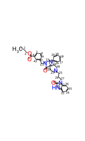 CCCOC(=O)c1cccc(CN2CN(c3ccccc3)C3(CCN(CCCn4c(=O)[nH]c5ccccc54)CC3)C2=O)c1